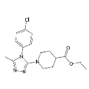 CCOC(=O)C1CCN(c2nnc(C)n2-c2ccc(Cl)cc2)CC1